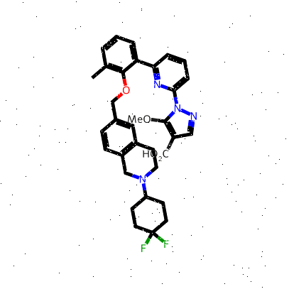 COc1c(C(=O)O)cnn1-c1cccc(-c2cccc(C)c2OCc2ccc3c(c2)CCN(C2CCC(F)(F)CC2)C3)n1